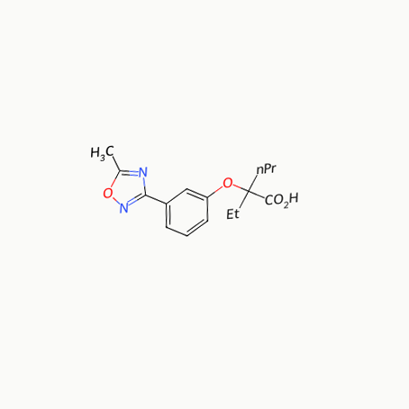 CCCC(CC)(Oc1cccc(-c2noc(C)n2)c1)C(=O)O